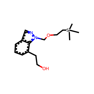 C[Si](C)(C)CCOCn1ncc2cccc(CCO)c21